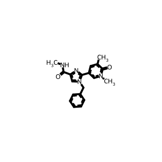 CNC(=O)c1cn(Cc2ccccc2)c(-c2cc(C)c(=O)n(C)c2)n1